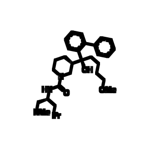 CNC[C@H](CC(C)C)NC(=O)N1CCC[C@@H]([C@@](O)(CCCCOC)c2ccccc2-c2ccccc2)C1